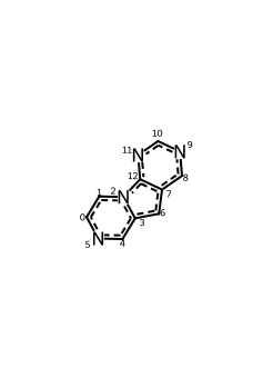 c1cn2c(cn1)cc1cncnc12